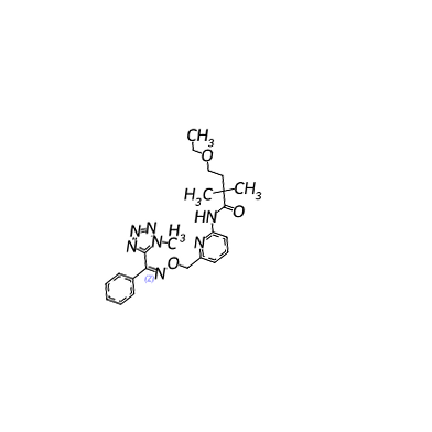 CCOCCC(C)(C)C(=O)Nc1cccc(CO/N=C(/c2ccccc2)c2nnnn2C)n1